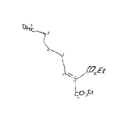 CCOC(=O)C(=CCCCC=O)C(=O)OCC